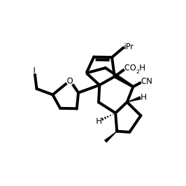 CC(C)C1=CC2CC3(C#N)[C@@H]4CC[C@@H](C)[C@H]4CC2(C2CCC(CI)O2)C13C(=O)O